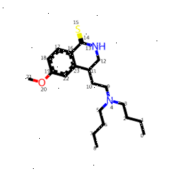 CCCCN(CCCC)CCC1CNC(=S)c2ccc(OC)cc21